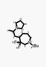 CC(CC1CCCN(C(C)(C)C)CC1(F)F)N1CCCC1